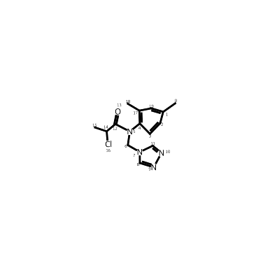 Cc1ccc(N(Cn2cnnc2)C(=O)C(C)Cl)c(C)c1